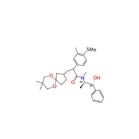 CSc1ccc(C(CC2CCC3(C2)OCC(C)(C)CO3)C(=O)N(C)[C@H](C)[C@H](O)c2ccccc2)cc1C